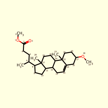 COC(=O)CCC(C)C1CCC2C3CC=C4CC(OC)CCC4(C)C3CCC12C